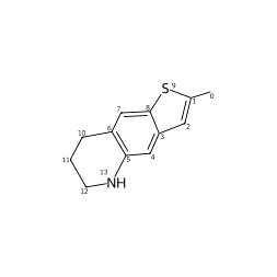 Cc1cc2cc3c(cc2s1)CCCN3